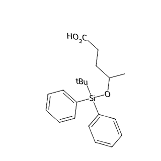 CC(CCC(=O)O)O[Si](c1ccccc1)(c1ccccc1)C(C)(C)C